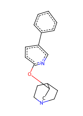 c1ccc(-c2ccc(OC3CN4CCC3CC4)nc2)cc1